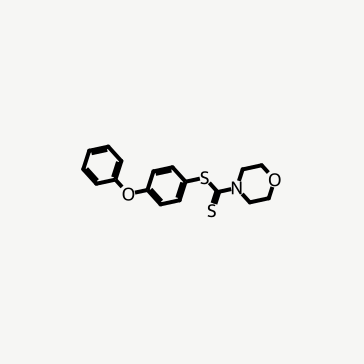 S=C(Sc1ccc(Oc2ccccc2)cc1)N1CCOCC1